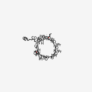 C/C=C/C[C@@H](C)[C@@H](O)[C@H]1C(=O)N[C@@H](CC)C(=O)N(C)[C@H](CSCC[C@H](CCCN2CCOCC2)C(=O)OCC)C(=O)N(C)[C@@H](CC(C)(C)O)C(=O)N[C@@H](C(C)C)C(=O)N(C)[C@@H](CC(C)C)C(=O)N[C@@H](C)C(=O)N[C@H](C)C(=O)N(C)[C@@H](CC(C)C)C(=O)N(C)[C@@H](CC(C)C)C(=O)N(C)[C@@H](C(C)C)C(=O)N1C